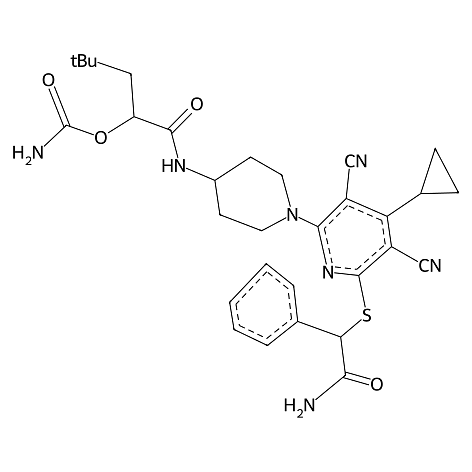 CC(C)(C)CC(OC(N)=O)C(=O)NC1CCN(c2nc(SC(C(N)=O)c3ccccc3)c(C#N)c(C3CC3)c2C#N)CC1